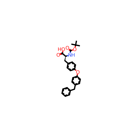 CC(C)(C)OC(=O)N[C@@H](Cc1ccc(Oc2ccc(Cc3ccccc3)cc2)cc1)C(=O)O